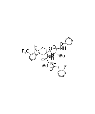 CCC(C)[C@H](NC(=O)Cc1ccccc1F)C(=O)N[C@]1(C(=O)N[C@H](C(=O)NOc2ccccc2)C(C)CC)CCc2[nH]c3c(C(F)(F)F)cccc3c2C1